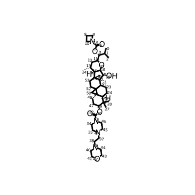 CC(C)[C@@H](OC(=O)N1CCC1)C1C[C@@H](C)[C@H]2C(O1)[C@H](O)[C@@]1(C)C3CC[C@H]4C(C)(C)[C@@H](OC(=O)N5CCN(CCN6CCOCC6)CC5)CC[C@@]45CC35CC[C@]21C